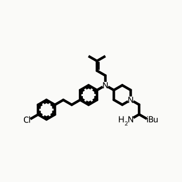 CCC(C)C(N)CN1CCC(N(CC=C(C)C)c2ccc(CCc3ccc(Cl)cc3)cc2)CC1